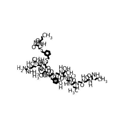 CCCC(=O)N[C@@H](CSCc1cccc(CSC[C@H](NC(=O)[C@H](CCCNC(=N)N)NC(C)=O)C(=O)N[C@H](C(=O)N[C@@H](Cc2ccc(O)cc2)C(=O)NCC(=O)N[C@H](C(=O)NCC(=O)N[C@@H](CCC)C(=O)NCC(=O)NCC(=O)N[C@@H](CCC)C(N)=O)[C@@H](C)O)C(C)(C)C)c1)C(N)=O